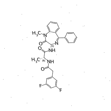 C[C@@H](NC(=O)Cc1cc(F)cc(F)c1)C(=O)N[C@H]1N=C(c2ccccc2)c2ccccc2N(C)C1=O